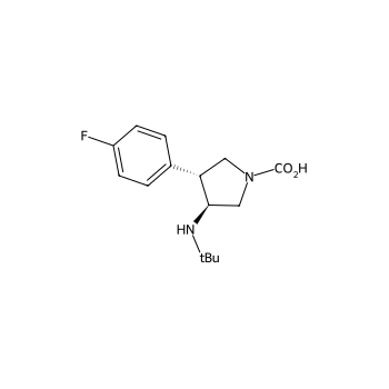 CC(C)(C)N[C@@H]1CN(C(=O)O)C[C@H]1c1ccc(F)cc1